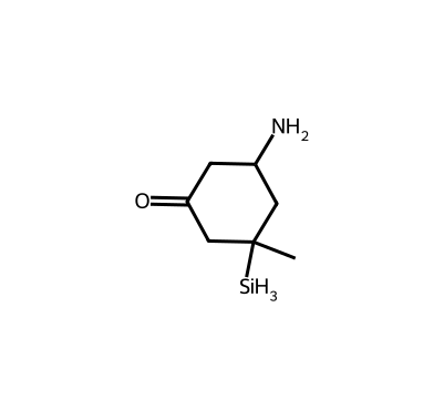 CC1([SiH3])CC(=O)CC(N)C1